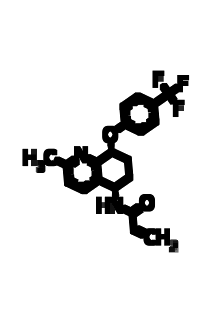 C=CC(=O)N[C@@H]1CC[C@H](Oc2ccc(C(F)(F)F)cc2)c2nc(C)ccc21